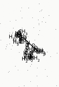 CN(Cc1cnc2nc(N)nc(N)c2n1)c1ccc(C(=O)C[C@@H](CCC(=O)NCCCCCN(CCCCCCC(=O)CC[C@H](NC(=O)c2ccc(N(C)Cc3cnc4nc(N)nc(N)c4n3)cc2)C(=O)OCC[Si](C)(C)C)CCOCCOCCOCCOCCOCCN)C(=O)OCC[Si](C)(C)C)cc1